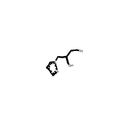 OCC(O)Cn1cccn1